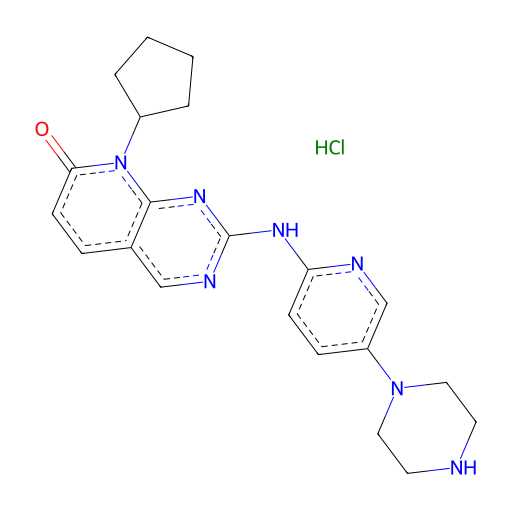 Cl.O=c1ccc2cnc(Nc3ccc(N4CCNCC4)cn3)nc2n1C1CCCC1